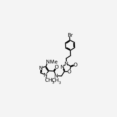 CNc1ncn(C)c1C(=O)N(C)Cc1nn(CCc2ccc(Br)cc2)c(=O)o1